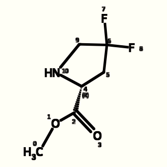 COC(=O)[C@H]1CC(F)(F)CN1